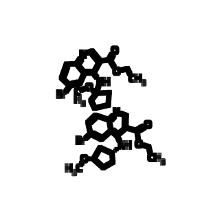 CCOC(=O)c1cnc2ccc(Br)cc2c1NC1(OC)CCCC1.CCOC(=O)c1cnc2ccc(Br)cc2c1N[C@@H]1CC[C@@H](OC)C1